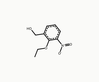 CCOc1c([CH]O)cccc1[N+](=O)[O-]